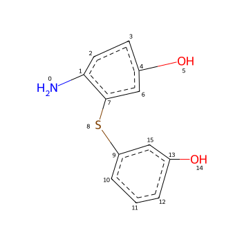 Nc1ccc(O)cc1Sc1cccc(O)c1